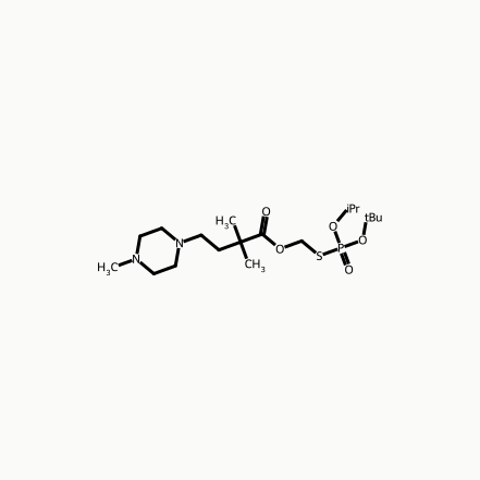 CC(C)OP(=O)(OC(C)(C)C)SCOC(=O)C(C)(C)CCN1CCN(C)CC1